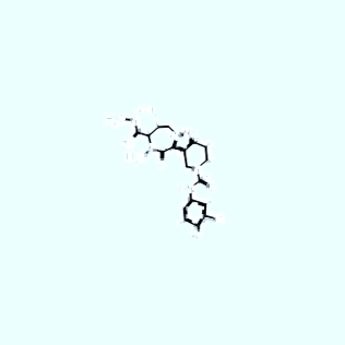 CN(C)C(=O)C1CCn2nc3c(c2C(=O)N1C)CN(C(=O)Nc1ccc(F)c(Cl)c1)CC3